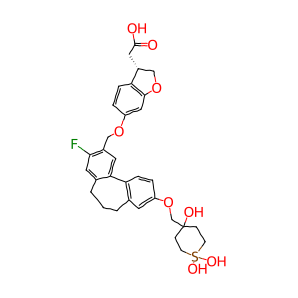 O=C(O)C[C@@H]1COc2cc(OCc3cc4c(cc3F)CCCc3cc(OCC5(O)CCS(O)(O)CC5)ccc3-4)ccc21